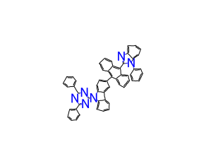 c1ccc(-c2nc(-c3ccccc3)nc(-n3c4ccccc4c4cc(-c5c6ccccc6c(-c6nc7ccccc7n6-c6ccccc6)c6ccccc56)ccc43)n2)cc1